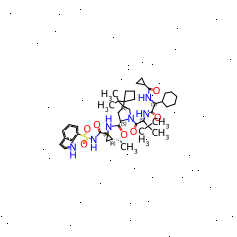 CC[C@@H]1C[C@]1(NC(=O)[C@@H]1C[C@@]2(CN1C(=O)[C@@H](NC(=O)[C@@H](NC(=O)C1CC1)C1CCCCC1)C(C)(C)C)C(C)(C)C21CCC1)C(=O)NS(=O)(=O)c1cccc2cc[nH]c12